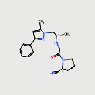 Cc1cc(-c2ccccc2)nn1C[C@H](C)NCC(=O)N1CCC[C@H]1C#N